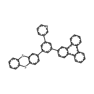 c1cncc(-c2cc(-c3ccc4c(c3)Sc3ccccc3S4)cc(-c3ccc4c5ccccc5c5ccccc5c4c3)c2)c1